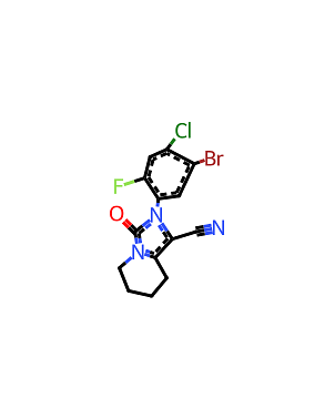 N#Cc1c2n(c(=O)n1-c1cc(Br)c(Cl)cc1F)CCCC2